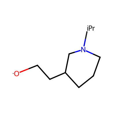 CC(C)N1CCCC(CC[O])C1